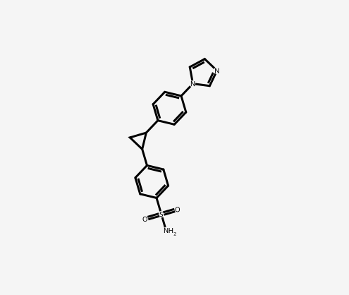 NS(=O)(=O)c1ccc(C2CC2c2ccc(-n3ccnc3)cc2)cc1